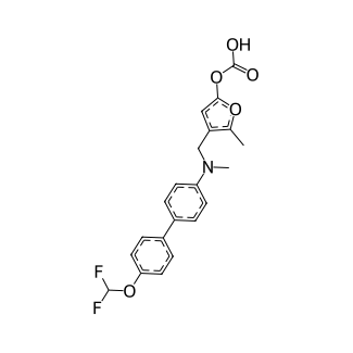 Cc1oc(OC(=O)O)cc1CN(C)c1ccc(-c2ccc(OC(F)F)cc2)cc1